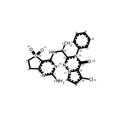 C[C@H](Nc1nc(N)nc2c1S(=O)(=O)CC2)c1nn2ccc(Cl)c2c(=O)n1-c1ccccc1